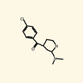 CN(C)C1CC(C(=O)c2ccc(Cl)cc2)CC[N]1